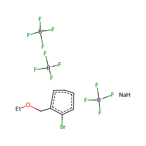 CCOCc1ccccc1Br.F[B-](F)(F)F.F[B-](F)(F)F.F[B-](F)(F)F.[NaH]